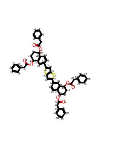 O=C(Cc1ccccc1)OC1CCC(OC(=O)Cc2ccccc2)c2cc(-c3cc4sc(-c5ccc6c(c5)C(OC(=O)Cc5ccccc5)CCC6OC(=O)Cc5ccccc5)cc4s3)ccc21